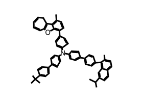 Cc1ccc2ccc(C(C)C)cc2c1-c1ccc(-c2ccc(N(c3ccc(-c4ccc(C(C)(C)C)cc4)cc3)c3ccc(-c4ccc(C)c5c6c(oc45)C=CC=CC6)cc3)cc2)cc1